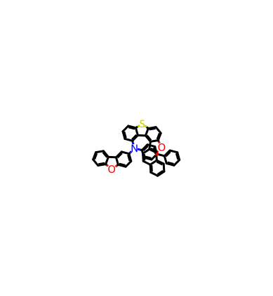 c1ccc(-c2ccc(N(c3ccc4oc5ccccc5c4c3)c3cccc4sc5ccc6oc7c8ccccc8ccc7c6c5c34)cc2)cc1